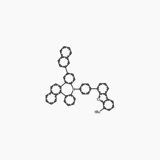 CC(C)(C)c1cccc2c1oc1c(-c3ccc(N4c5ccc(-c6ccc7ccccc7c6)cc5-c5ccc6ccccc6c5-c5ccccc54)cc3)cccc12